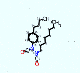 CCCCCCCCN=C=O.CCCCc1ccc(N=C=O)cc1